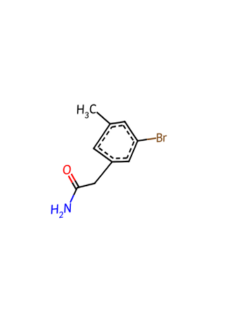 Cc1cc(Br)cc(CC(N)=O)c1